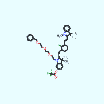 C[N+]1=C(/C=C/C2=C(Cl)C(C=C=C3N(CCOCCOCCOCc4ccccc4)c4ccccc4C3(C)C)CCC2)C(C)(C)c2ccccc21.O=C([O-])C(F)(F)F